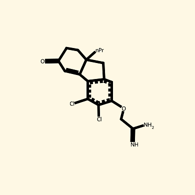 CCCC12CCC(=O)C=C1c1c(cc(OCC(=N)N)c(Cl)c1Cl)C2